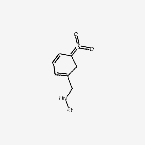 CCNCC1=CC=CC(=S(=O)=O)C1